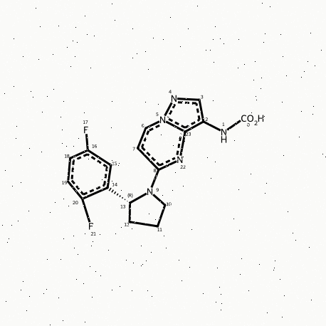 O=C(O)Nc1cnn2ccc(N3CCC[C@@H]3c3cc(F)ccc3F)nc12